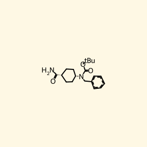 CC(C)(C)OC(=O)N(Cc1ccccc1)[C@H]1CC[C@@H](C(N)=O)CC1